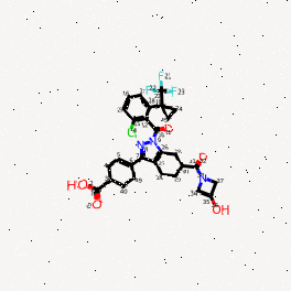 O=C(O)C1CC=C(c2nn(C(=O)c3c(Cl)cccc3C3(C(F)(F)F)CC3)c3c2CCC(C(=O)N2CC(O)C2)C3)CC1